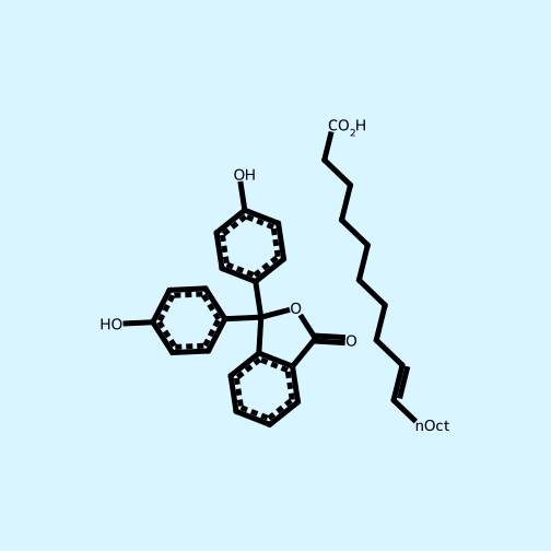 CCCCCCCCC=CCCCCCCCC(=O)O.O=C1OC(c2ccc(O)cc2)(c2ccc(O)cc2)c2ccccc21